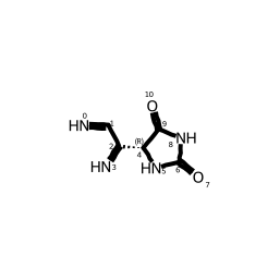 N=CC(=N)[C@H]1NC(=O)NC1=O